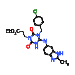 CCOC(=O)CCn1c(=O)[nH]/c(=N\c2ccc3nc(C)[nH]c3c2)n(Cc2ccc(Cl)cc2)c1=O